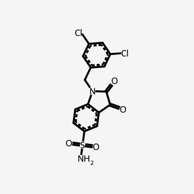 NS(=O)(=O)c1ccc2c(c1)C(=O)C(=O)N2Cc1cc(Cl)cc(Cl)c1